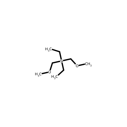 CC[Si](CC)(COC)COC